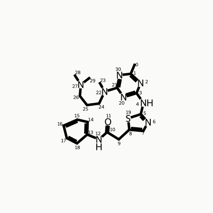 Cc1nc(Nc2ncc(CC(=O)Nc3ccccc3)s2)nc(N(C)CCCN(C)C)n1